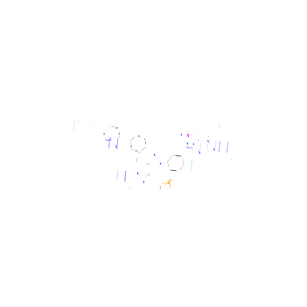 N[C@H]1CS(=O)(=O)c2cc(F)c(-c3noc(C4(N)COC4)n3)cc2N(Cc2ccc(-c3ccc(C(F)(F)F)cn3)cc2)C1=O